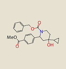 COC(=O)c1ccc(C2CC(O)(C3CC3)CCN2C(=O)OCc2ccccc2)cc1